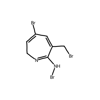 BrCC1=CC(Br)=CCN=C1NBr